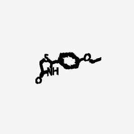 CCOc1ccc(C2NC(=O)CS2)cc1